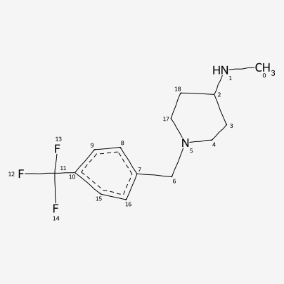 CNC1CCN(Cc2ccc(C(F)(F)F)cc2)CC1